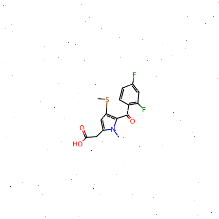 CSc1cc(CC(=O)O)n(C)c1C(=O)c1ccc(F)cc1F